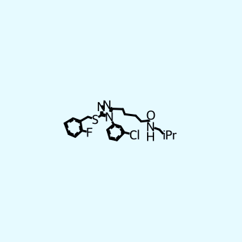 CC(C)CNC(=O)CCCCc1nnc(SCc2ccccc2F)n1-c1cccc(Cl)c1